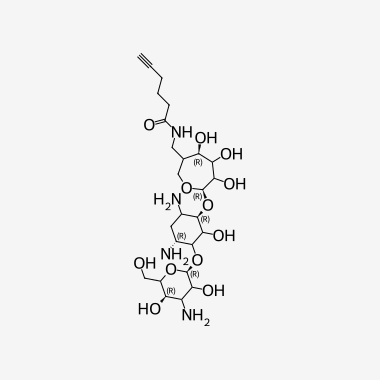 C#CCCCC(=O)NCC1CO[C@H](O[C@@H]2C(N)C[C@@H](N)C(O[C@@H]3OC(CO)[C@H](O)C(N)C3O)C2O)C(O)C(O)[C@@H]1O